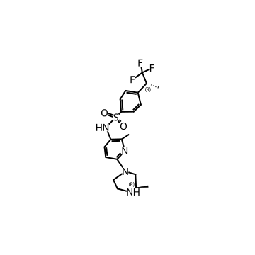 Cc1nc(N2CCN[C@H](C)C2)ccc1NS(=O)(=O)c1ccc([C@@H](C)C(F)(F)F)cc1